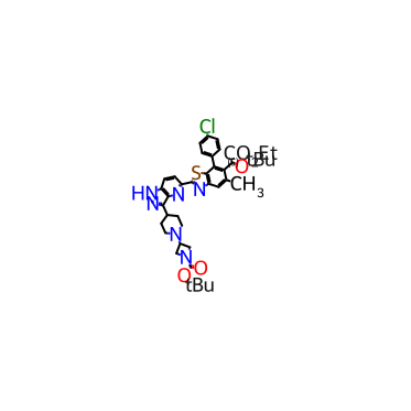 CCOC(=O)[C@@H](OC(C)(C)C)c1c(C)cc2nc(-c3ccc4[nH]nc(C5CCN(C6CN(C(=O)OC(C)(C)C)C6)CC5)c4n3)sc2c1-c1ccc(Cl)cc1